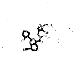 CCn1ncc(CN(C)C(=O)c2nc(-c3ccccc3Cl)nc3c(C#N)cccc23)c1O